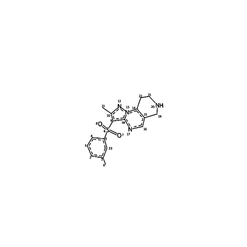 Cc1cccc(S(=O)(=O)c2c(C)nn3c4c(cnc23)CNCC4)c1